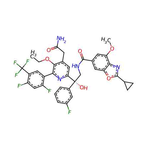 CCOc1c(CC(N)=O)cc([C@@](O)(CNC(=O)c2cc(OC)c3nc(C4CC4)oc3c2)c2cccc(F)c2)nc1-c1cc(C(F)(F)F)c(F)cc1F